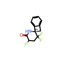 O=C1N[C@@]2(Cc3ccccc32)C(F)(F)CC1F